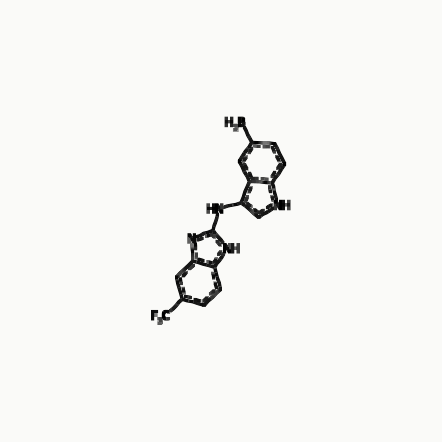 Bc1ccc2[nH]cc(Nc3nc4cc(C(F)(F)F)ccc4[nH]3)c2c1